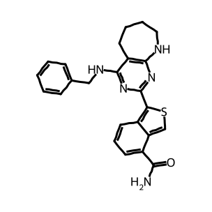 NC(=O)c1cccc2c(-c3nc4c(c(NCc5ccccc5)n3)CCCCN4)scc12